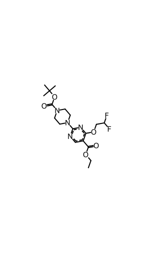 CCOC(=O)c1cnc(N2CCN(C(=O)OC(C)(C)C)CC2)nc1OCC(F)F